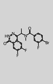 CC(c1n[nH]c(=O)c2cc(F)c(F)cc12)N(C)C(=O)c1ccc(Br)c(F)c1